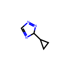 C1=N[C](C2CC2)N=N1